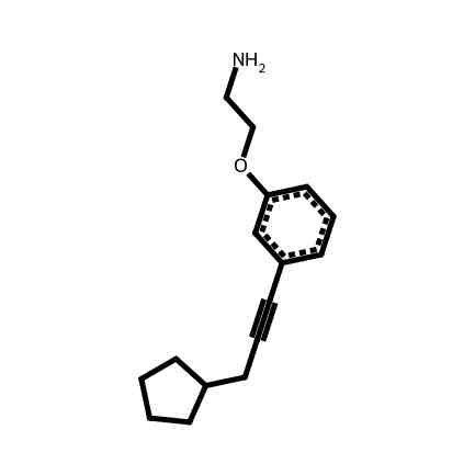 NCCOc1cccc(C#CCC2CCCC2)c1